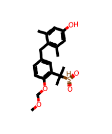 COCOc1ccc(Cc2c(C)cc(O)cc2C)cc1C(C)(C)[SH](=O)=O